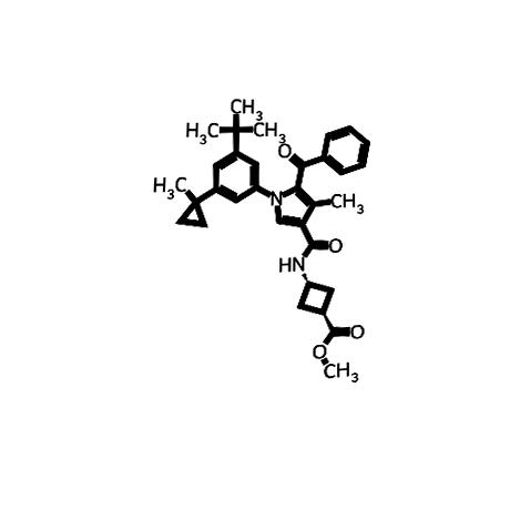 COC(=O)[C@H]1C[C@H](NC(=O)c2cn(-c3cc(C(C)(C)C)cc(C4(C)CC4)c3)c(C(=O)c3ccccc3)c2C)C1